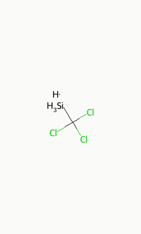 [H].[SiH3]C(Cl)(Cl)Cl